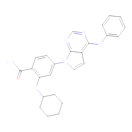 NC(=O)c1ccc(-n2ccc3c(Nc4ccccc4)ncnc32)cc1NC1CCCCC1